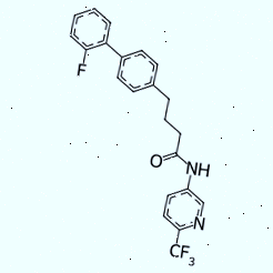 O=C(CCCc1ccc(-c2ccccc2F)cc1)Nc1ccc(C(F)(F)F)nc1